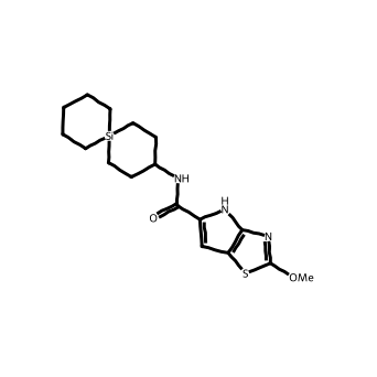 COc1nc2[nH]c(C(=O)NC3CC[Si]4(CCCCC4)CC3)cc2s1